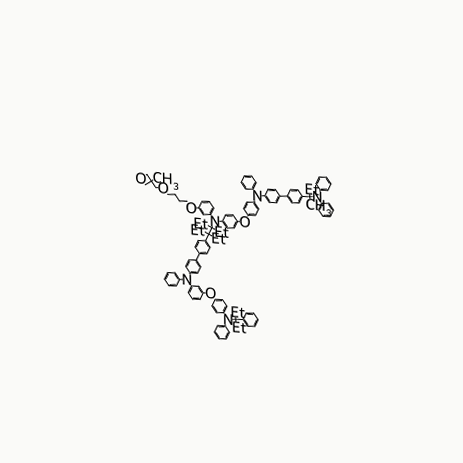 CCC(C)(c1ccc(-c2ccc(N(c3ccccc3)c3ccc(Oc4ccc(N(c5cccc(OCCCCOCC6(C)COC6)c5)C(CC)(CC)C(CC)(CC)c5ccc(-c6ccc(N(c7ccccc7)c7cccc(Oc8ccc(N(c9ccccc9)C(CC)(CC)c9ccccc9)cc8)c7)cc6)cc5)cc4)cc3)cc2)cc1)N(c1ccccc1)c1ccccc1